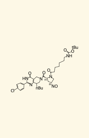 CCCCC1CN(C(=O)[C@@H]2C[C@@H](N=O)CN2C(=O)CCCCCCNC(=O)OC(C)(C)C)Cc2c1nc(-c1ccc(Cl)cc1)[nH]c2=O